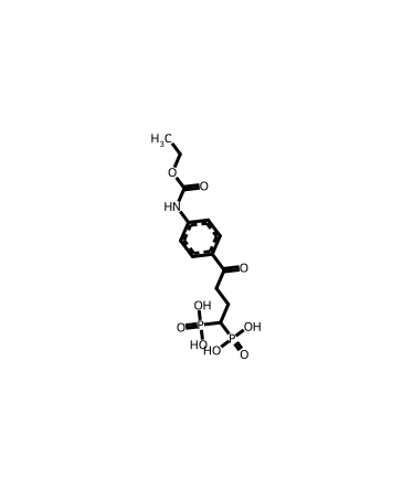 CCOC(=O)Nc1ccc(C(=O)CCC(P(=O)(O)O)P(=O)(O)O)cc1